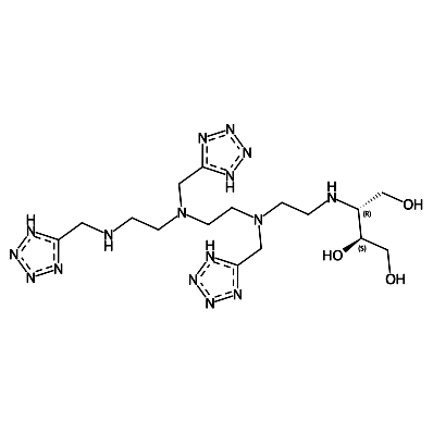 OC[C@@H](O)[C@@H](CO)NCCN(CCN(CCNCc1nnn[nH]1)Cc1nnn[nH]1)Cc1nnn[nH]1